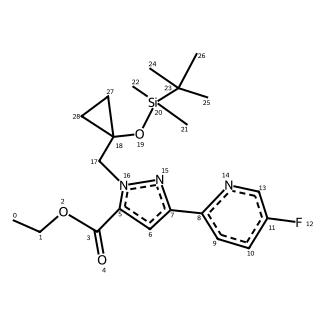 CCOC(=O)c1cc(-c2ccc(F)cn2)nn1CC1(O[Si](C)(C)C(C)(C)C)CC1